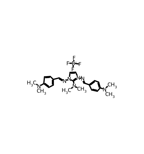 CN(C)c1ccc(C=Nn2cc[n+](N=Cc3ccc(N(C)C)cc3)c2N(C)C)cc1.F[B-](F)(F)F